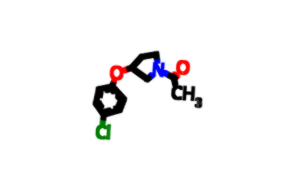 CC(=O)N1CCC(Oc2ccc(Cl)cc2)C1